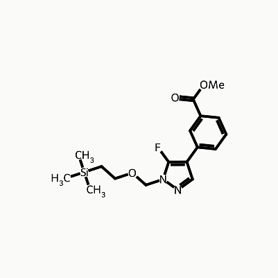 COC(=O)c1cccc(-c2cnn(COCC[Si](C)(C)C)c2F)c1